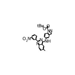 Cc1ccc2nc(-c3cccc([N+](=O)[O-])c3)nc(Nc3ccc4c(cnn4C(=O)OC(C)(C)C)c3)c2c1